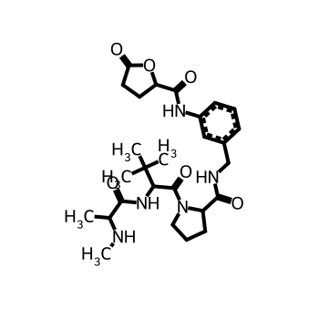 CNC(C)C(=O)NC(C(=O)N1CCCC1C(=O)NCc1cccc(NC(=O)C2CCC(=O)O2)c1)C(C)(C)C